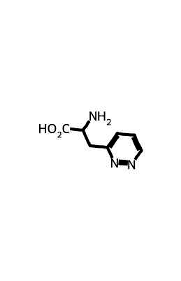 NC(Cc1cccnn1)C(=O)O